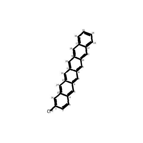 Clc1ccc2cc3cc4cc5cc6ccccc6cc5cc4cc3cc2c1